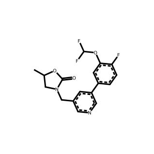 CC1CN(Cc2cncc(-c3ccc(F)c(OC(F)F)c3)c2)C(=O)O1